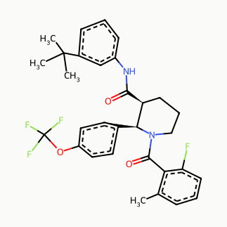 Cc1cccc(F)c1C(=O)N1CCC[C@H](C(=O)Nc2cccc(C(C)(C)C)c2)[C@@H]1c1ccc(OC(F)(F)F)cc1